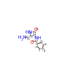 Cc1ccc(C(=O)NC2C(=O)NC2CN)cc1